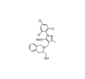 CSc1c(CN2Cc3ccccc3CC2CO)c(C)nn1-c1c(Cl)cc(Cl)cc1Cl